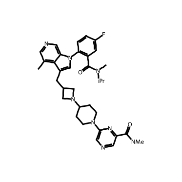 CNC(=O)c1cncc(N2CCC(N3CC(Cc4cn(-c5ccc(F)cc5C(=O)N(C)C(C)C)c5cncc(C)c45)C3)CC2)n1